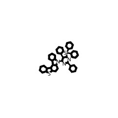 c1ccc(-c2nc(-n3c4ccccc4c4c5c(ccc43)sc3ccccc35)c3c(n2)[Si](c2ccccc2)(c2ccccc2)c2ccccc2-3)cc1